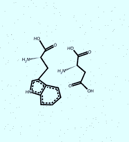 N[C@@H](CC(=O)O)C(=O)O.N[C@@H](Cc1c[nH]c2ccccc12)C(=O)O